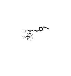 CCN(CCCOc1ccc(N=C=S)cc1)C(=O)OC(C)(C)C